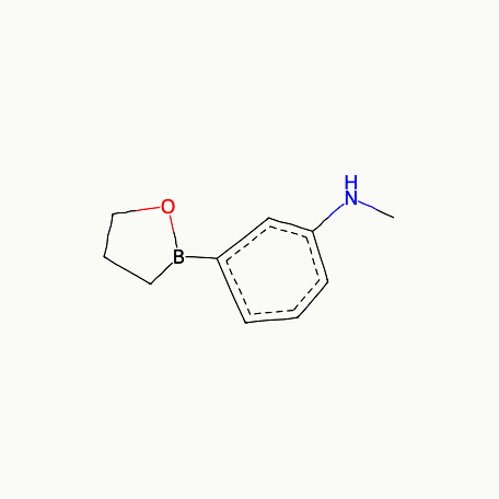 CNc1cccc(B2CCCO2)c1